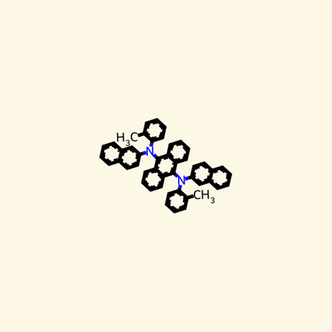 Cc1ccccc1N(c1ccc2ccccc2c1)c1c2ccccc2c(N(c2ccc3ccccc3c2)c2ccccc2C)c2ccccc12